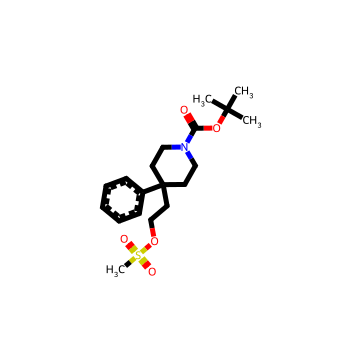 CC(C)(C)OC(=O)N1CCC(CCOS(C)(=O)=O)(c2ccccc2)CC1